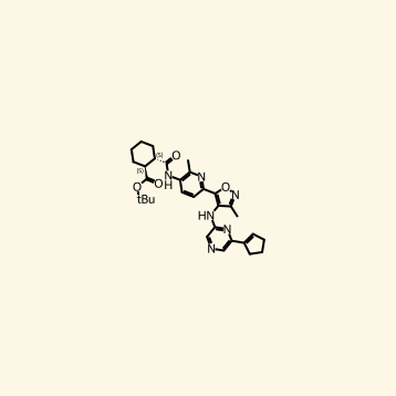 Cc1nc(-c2onc(C)c2Nc2cncc(C3=CCCC3)n2)ccc1NC(=O)[C@H]1CCCC[C@@H]1C(=O)OC(C)(C)C